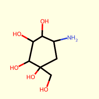 NC1CC(O)(CO)C(O)C(O)C1O